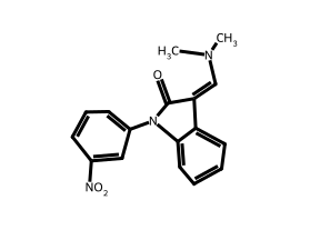 CN(C)/C=C1\C(=O)N(c2cccc([N+](=O)[O-])c2)c2ccccc21